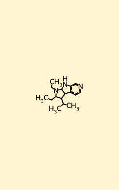 CCC1C(C(C)C)C2c3ccncc3NC2N1CC